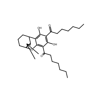 CCCCCCC(=O)c1c(O)c(C(=O)CCCCCC)c2c(c1O)C1CCCC3(O2)OC(C)(C)CC13